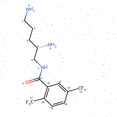 NCCC[C@H](N)CNC(=O)c1cc(C(F)(F)F)ccc1C(F)(F)F